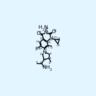 Cc1c(N2CC(C)C(C(C)N)C2)c(F)cc2c(=O)n(N)c(=O)n(C3CC3)c12